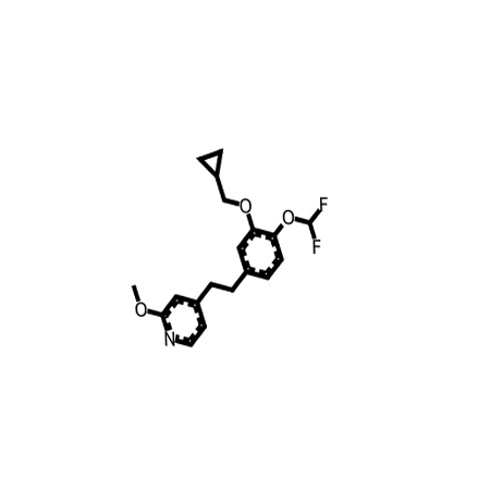 COc1cc(CCc2ccc(OC(F)F)c(OCC3CC3)c2)ccn1